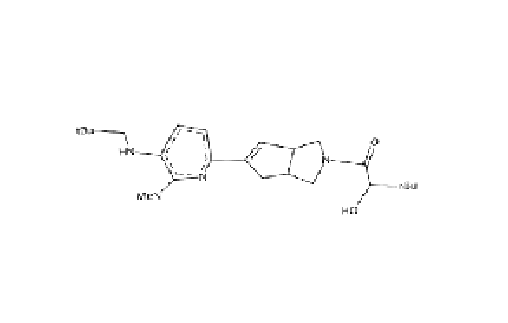 CCCCC(O)C(=O)N1CC2C=C(c3ccc(NCC(C)(C)C)c(NC)n3)CC2C1